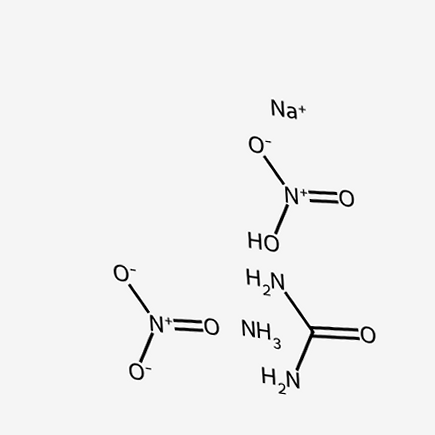 N.NC(N)=O.O=[N+]([O-])O.O=[N+]([O-])[O-].[Na+]